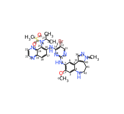 COc1cc2c(cc1Nc1ncc(Br)c(Nc3ccc4nccnc4c3N(C(C)C)S(C)(=O)=O)n1)-c1cnn(C)c1CCN2